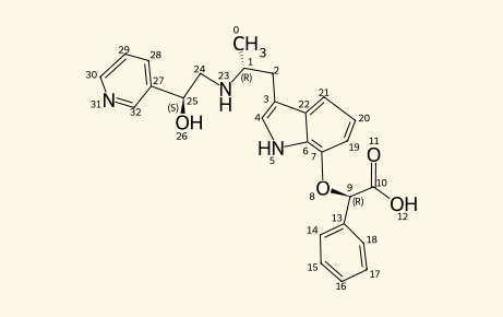 C[C@H](Cc1c[nH]c2c(O[C@@H](C(=O)O)c3ccccc3)cccc12)NC[C@@H](O)c1cccnc1